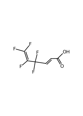 O=C(O)C=CC(F)(F)C(F)=C(F)F